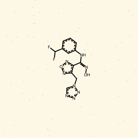 O/N=C(/Nc1cccc(C(F)F)c1)c1nonc1Cn1cnnn1